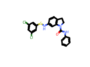 O=C(Nc1ccccc1)N1CCc2ccc(NSc3cc(Cl)cc(Cl)c3)cc21